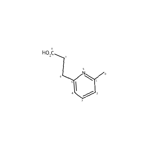 Cc1cccc(CCC(=O)O)n1